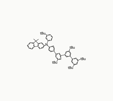 CC(C)(C)c1cc(-c2ccc(N(c3cccc(C(C)(C)C)c3)c3ccc4c(c3)C(C)(C)c3ccccc3-4)cc2)cc(-c2cc(-c3cc(C(C)(C)C)cc(C(C)(C)C)c3)cc(C(C)(C)C)c2)c1